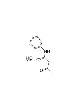 CC(=O)CC(=O)Nc1ccccc1.[Na+].[OH-]